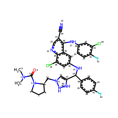 CN(C)C(=O)N1CCC[C@@H]1CN1C=C(C(Nc2cc(Cl)c3ncc(C#N)c(Nc4ccc(F)c(Cl)c4)c3c2)c2ccc(F)cc2)NN1